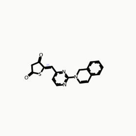 O=C1CC(=O)/C(=C/c2ccnc(N3C=Cc4ccccc4C3)n2)S1